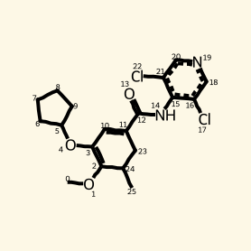 COC1=C(OC2CCCC2)C=C(C(=O)Nc2c(Cl)cncc2Cl)CC1C